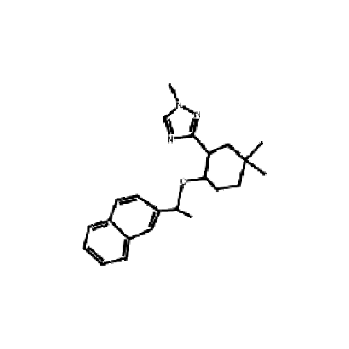 CC(OC1CCC(C)(C)CC1c1ncn(C)n1)c1ccc2ccccc2c1